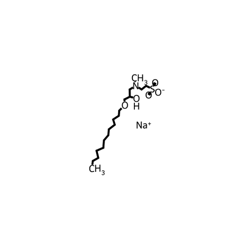 CCCCCCCCCCCCOCC(O)CN(C)CCS(=O)(=O)[O-].[Na+]